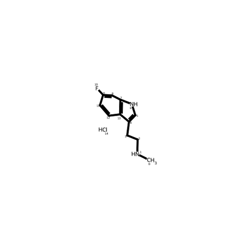 CNCCc1c[nH]c2cc(F)ccc12.Cl